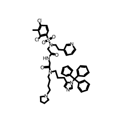 Cc1c(Cl)ccc(S(=O)(=O)N(CCc2cccnc2)CC(=O)NCC(=O)N(CCCCN2CCCC2)CCCc2cncn2C(c2ccccc2)(c2ccccc2)c2ccccc2)c1Cl